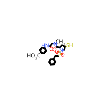 CN(CC(=O)Nc1ccc(C(=O)O)cc1)C(=O)C1CC(S)CN1S(=O)(=O)C=Cc1ccccc1